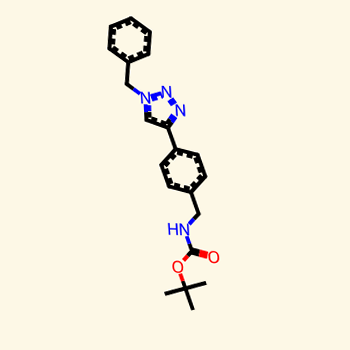 CC(C)(C)OC(=O)NCc1ccc(-c2cn(Cc3ccccc3)nn2)cc1